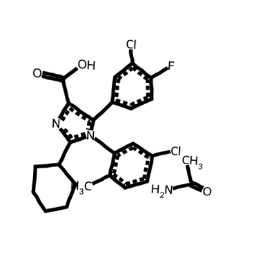 CC(N)=O.Cc1ccc(Cl)cc1-n1c(C2CCCCC2)nc(C(=O)O)c1-c1ccc(F)c(Cl)c1